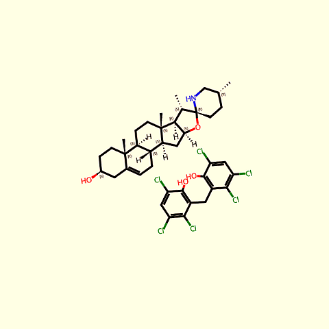 C[C@@H]1CC[C@@]2(NC1)O[C@H]1C[C@H]3[C@@H]4CC=C5C[C@@H](O)CC[C@]5(C)[C@H]4CC[C@]3(C)[C@H]1[C@@H]2C.Oc1c(Cl)cc(Cl)c(Cl)c1Cc1c(O)c(Cl)cc(Cl)c1Cl